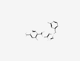 Cc1cccc(Cn2cnc(NC(=O)c3cnc(CO)cc3C)c2)c1